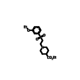 CCOC(=O)C1CCN(CCS(=O)(=O)c2cccc(OCC)c2)CC1